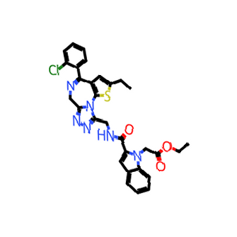 CCOC(=O)Cn1c(C(=O)NCc2nnc3n2-c2sc(CC)cc2C(c2ccccc2Cl)=NC3)cc2ccccc21